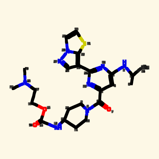 CC(Nc1cc(C(=O)N2CCC(NC(=O)OCCN(C)C)CC2)nc(-c2cnn3ccsc23)n1)C(C)(C)C